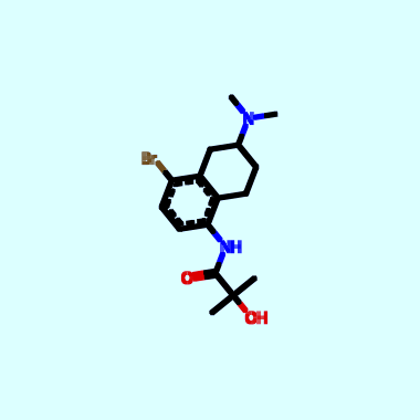 CN(C)C1CCc2c(NC(=O)C(C)(C)O)ccc(Br)c2C1